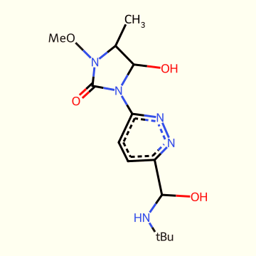 CON1C(=O)N(c2ccc(C(O)NC(C)(C)C)nn2)C(O)C1C